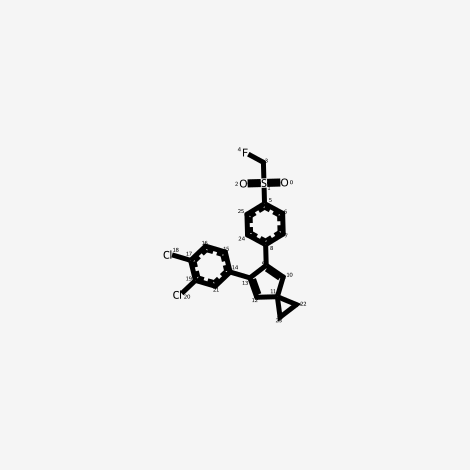 O=S(=O)(CF)c1ccc(C2=CC3(C=C2c2ccc(Cl)c(Cl)c2)CC3)cc1